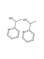 CC(O)c1ccccn1.CC(O)c1ccccn1